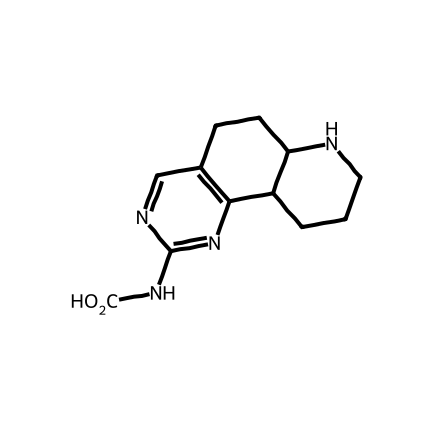 O=C(O)Nc1ncc2c(n1)C1CCCNC1CC2